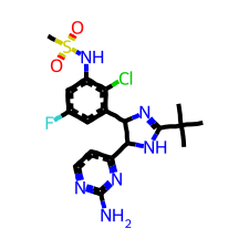 CC(C)(C)C1=NC(c2cc(F)cc(NS(C)(=O)=O)c2Cl)C(c2ccnc(N)n2)N1